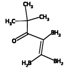 BC(B)=C(B)C(=O)C(C)(C)C